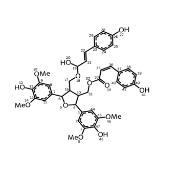 COc1cc(C2OC(c3cc(OC)c(O)c(OC)c3)C(COC(O)C=Cc3ccc(O)cc3)C2COC(=O)C=Cc2ccc(O)cc2)cc(OC)c1O